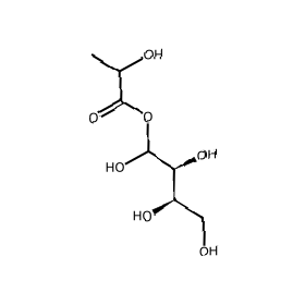 CC(O)C(=O)OC(O)[C@@H](O)[C@H](O)CO